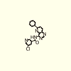 O=C(Nc1ncnc2ccc(-c3ccccc3)nc12)c1cncc(Cl)c1